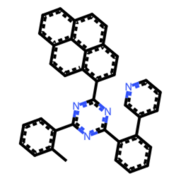 Cc1ccccc1-c1nc(-c2ccccc2-c2cccnc2)nc(-c2ccc3ccc4cccc5ccc2c3c45)n1